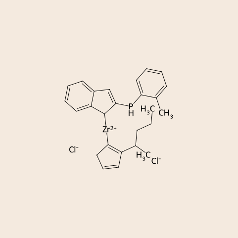 CCCC(C)C1=[C]([Zr+2][CH]2C(Pc3ccccc3C)=Cc3ccccc32)CC=C1.[Cl-].[Cl-]